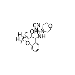 CC1(C)Oc2ccccc2C(NC(=NC#N)N2CCOCC2)C1O